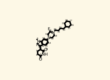 Cn1nc(C2CCC(=O)NC2=O)c2ccc(N3CCN(CCCCC4CCCCC4)C(F)C3)cc21